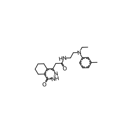 CCN(CCNC(=O)Cc1n[nH]c(=O)c2c1CCCC2)c1cccc(C)c1